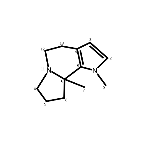 Cn1ccc2c1C1(C)CCCN1CC2